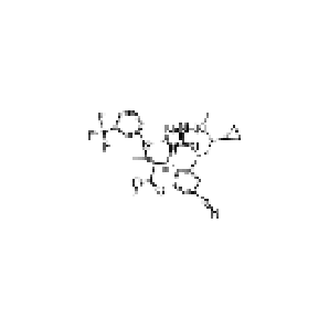 COC(=O)C1=C(C)N(c2cccc(C(F)(F)F)c2)c2n[nH]c(=O)n2[C@@H]1c1ccc(C#N)cc1CCC(C1CC1)N(C)C